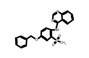 CS(=O)(=O)c1cc(OCc2ccccc2)ccc1Nc1ncnc2ccccc12